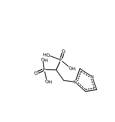 O=P(O)(O)C(Cn1ccnc1)P(=O)(O)O